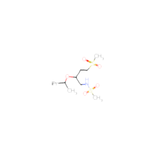 CC(C)C(C)OC(CCS(C)(=O)=O)CNS(C)(=O)=O